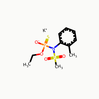 CCOP([O-])(=S)N(c1ccccc1C)S(C)(=O)=O.[K+]